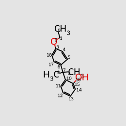 CCOc1ccc(C(C)(C)c2ccccc2O)cc1